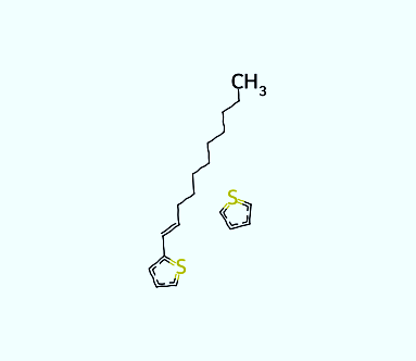 CCCCCCCCCC=Cc1cccs1.c1ccsc1